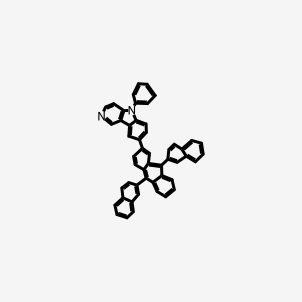 c1ccc(-n2c3ccncc3c3cc(-c4ccc5c(-c6ccc7ccccc7c6)c6ccccc6c(-c6ccc7ccccc7c6)c5c4)ccc32)cc1